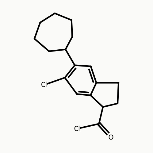 O=C(Cl)C1CCc2cc(C3CCCCCC3)c(Cl)cc21